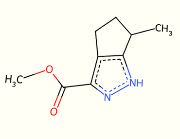 COC(=O)c1n[nH]c2c1CCC2C